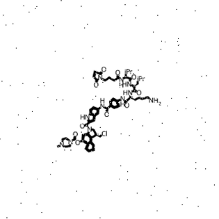 CC(C)C[C@H](NC(=O)C(NC(=O)CCCN1C(=O)C=CC1=O)C(C)C)C(=O)N[C@@H](CCCCN)C(=O)Nc1ccc(C(=O)Nc2ccc3[nH]c(C(=O)N4C[C@@H](CCl)c5c4cc(OC(=O)N4CCN(C)CC4)c4ccccc54)cc3c2)cc1